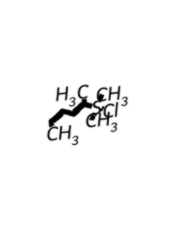 C/C=C\C=C(/C)S(C)(C)Cl